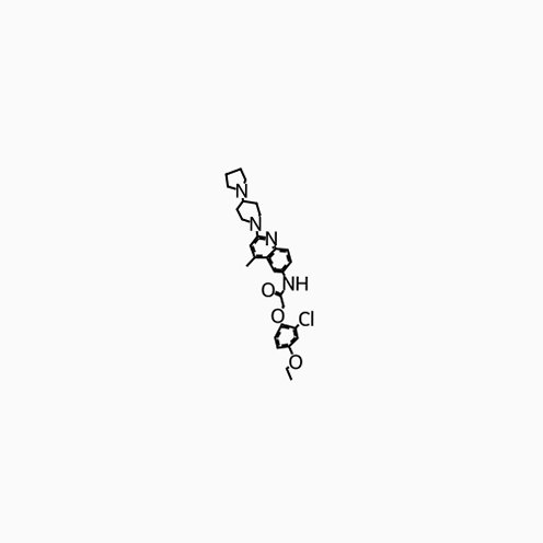 CCOc1ccc(OCC(=O)Nc2ccc3nc(N4CCC(N5CCCC5)CC4)cc(C)c3c2)c(Cl)c1